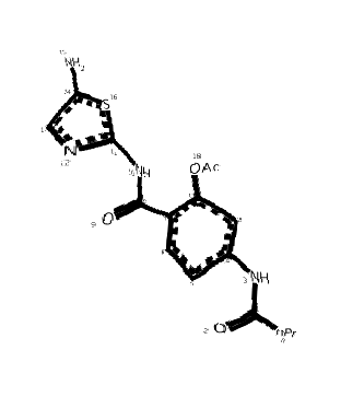 CCCC(=O)Nc1ccc(C(=O)Nc2ncc(N)s2)c(OC(C)=O)c1